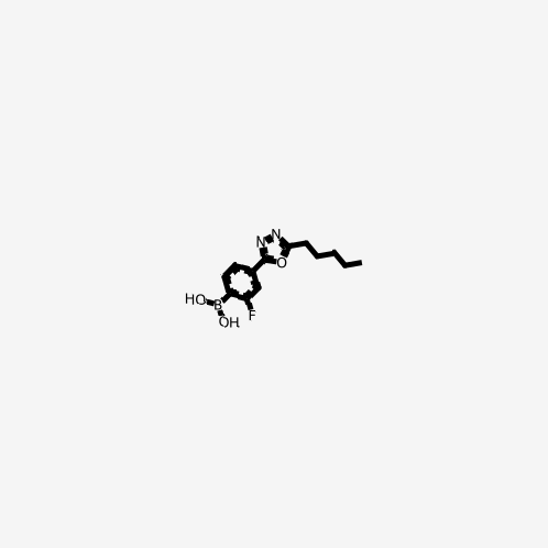 CCCCCc1nnc(-c2ccc(B(O)O)c(F)c2)o1